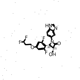 O=C1[C@H](CO)[C@H](c2c(F)cc(OCCC(F)F)cc2F)N1c1ccc2[nH]cnc2c1